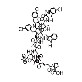 CNC(=O)[C@H](Cc1cccc(Cl)c1)NC(=O)C(NC(=O)C(Cc1ccc(Cl)cc1)N(C)C(=O)C(Cc1cccc(Cl)c1)NC(=O)[C@H](Cc1c[nH]c2ccccc12)NC(=O)NC(=O)N(C)C(=O)C(CCS(C)(=O)=O)NC(CCS(C)(=O)=O)NC(=O)C(C)NC(=O)C=CCC(O)N1CCC[C@H]1C(=O)O)[C@@H](C)O